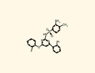 Cc1ccc(S(=O)(=O)Nc2nc(Oc3ccccc3F)cc(-c3ccccc3C(C)C)n2)cc1N